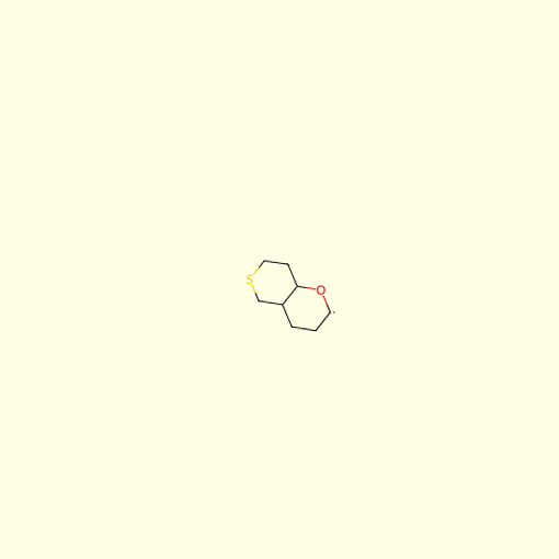 [CH]1CCC2CSCCC2O1